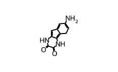 NC1=CCC2=c3[nH]c(=O)c(=O)[nH]c3=CC2=C1